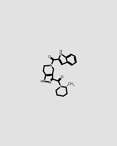 C[C@@H]1CCCCN1C(=O)c1n[nH]c2c1CN(C(=O)c1cc3ccccc3[nH]1)CC2